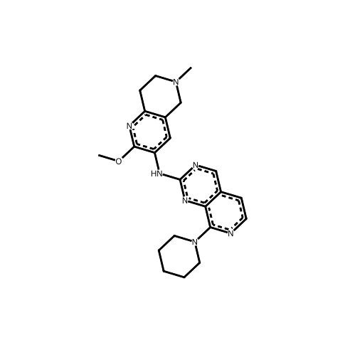 COc1nc2c(cc1Nc1ncc3ccnc(N4CCCCC4)c3n1)CN(C)CC2